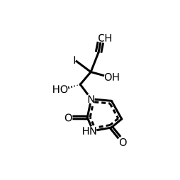 C#CC(O)(I)[C@@H](O)n1ccc(=O)[nH]c1=O